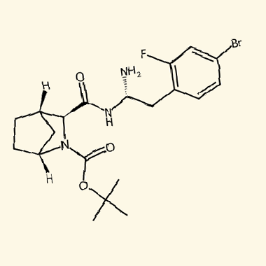 CC(C)(C)OC(=O)N1[C@@H]2CC[C@@H](C2)[C@H]1C(=O)N[C@H](N)Cc1ccc(Br)cc1F